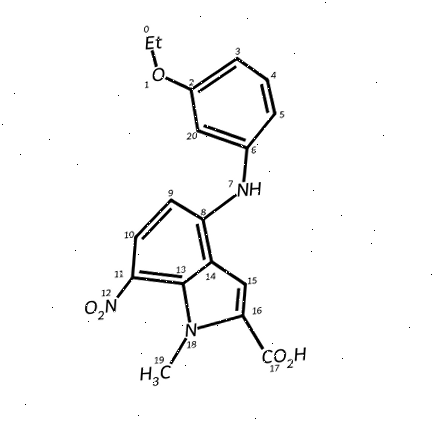 CCOc1cccc(Nc2ccc([N+](=O)[O-])c3c2cc(C(=O)O)n3C)c1